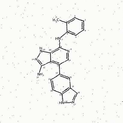 Cc1ccccc1Nc1ncc(-c2ccc3[nH]ncc3c2)c2c(N)n[nH]c12